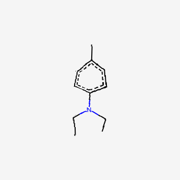 CCN(CC)c1c[c]c(C)cc1